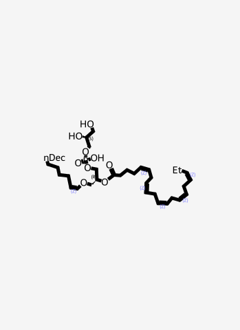 CC/C=C\C/C=C\C/C=C\C/C=C\C/C=C\CCCC(=O)O[C@H](CO/C=C\CCCCCCCCCCCCCC)COP(=O)(O)OC[C@@H](O)CO